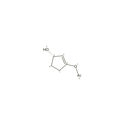 CC(=O)OC1=C[C@@H](O)CC1